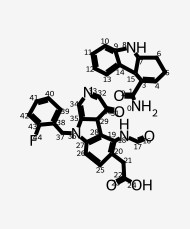 NC(=O)C1=CCCC2Nc3ccccc3C12.O=CNc1c(CC(=O)O)ccc2c1C1C(=O)C=NC=C1N2Cc1ccccc1F